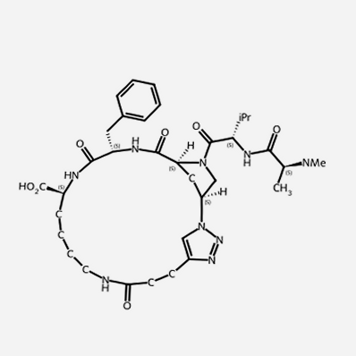 CN[C@@H](C)C(=O)N[C@H](C(=O)N1C[C@@H]2C[C@H]1C(=O)N[C@@H](Cc1ccccc1)C(=O)N[C@H](C(=O)O)CCCCNC(=O)CCc1cn2nn1)C(C)C